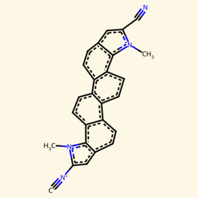 [C-]#[N+]c1cc2ccc3c4ccc5c(ccc6cc(C#N)n(C)c65)c4ccc3c2n1C